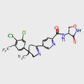 O=C(NC1CONC1=O)c1ccc(C2=NCC(c3cc(Cl)c(Cl)c(C(F)(F)F)c3)(C(F)(F)F)C2)cn1